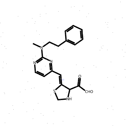 CN(CCc1ccccc1)c1nccc(/C=C2\SCNC2C(=O)C=O)n1